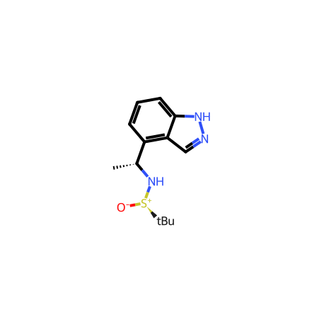 C[C@@H](N[S@+]([O-])C(C)(C)C)c1cccc2[nH]ncc12